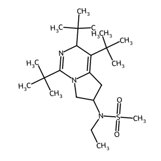 CCN(C1CC2=C(C(C)(C)C)C(C(C)(C)C)N=C(C(C)(C)C)N2C1)S(C)(=O)=O